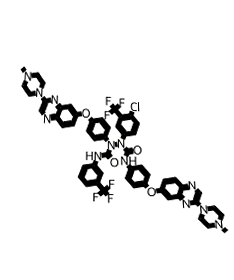 CN1CCN(c2cnc3ccc(Oc4ccc(NC(=O)N(c5ccc(Cl)c(C(F)(F)F)c5)N(C(=O)Nc5cccc(C(F)(F)F)c5)c5ccc(Oc6ccc7ncc(N8CCN(C)CC8)nc7c6)cc5)cc4)cc3n2)CC1